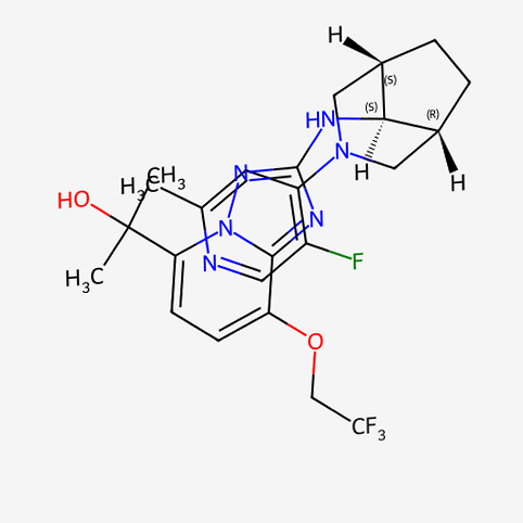 Cc1cc(N2C[C@H]3CC[C@@H](C2)[C@@H]3Nc2nc3c(OCC(F)(F)F)ccc(C(C)(C)O)n3n2)c(F)cn1